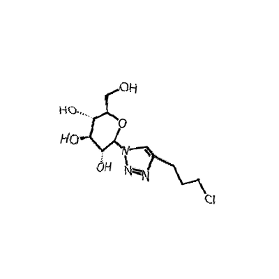 OC[C@H]1OC(n2cc(CCCCl)nn2)[C@H](O)[C@@H](O)[C@@H]1O